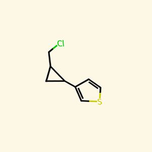 ClCC1CC1c1ccsc1